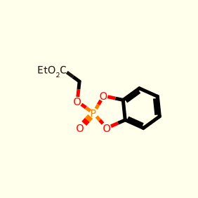 CCOC(=O)COP1(=O)Oc2ccccc2O1